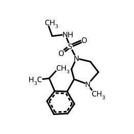 CCNS(=O)(=O)N1CCN(C)C(c2ccccc2C(C)C)C1